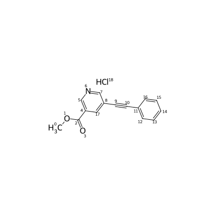 COC(=O)c1cncc(C#Cc2ccccc2)c1.Cl